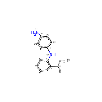 CC(C)CC(C)c1ccccc1Nc1ccc(N)cc1